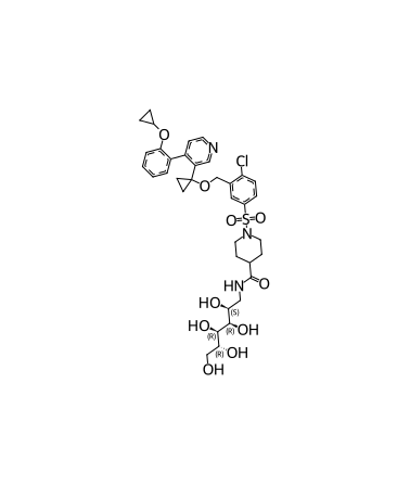 O=C(NC[C@H](O)[C@@H](O)[C@H](O)[C@H](O)CO)C1CCN(S(=O)(=O)c2ccc(Cl)c(COC3(c4cnccc4-c4ccccc4OC4CC4)CC3)c2)CC1